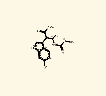 COC(=O)C(c1c[nH]c2cc(Br)ccc12)C(C)NC(=O)OC(C)(C)C